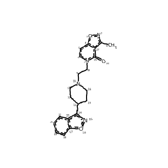 Cc1noc2ccn(CCN3CCC(c4noc5ccccc45)CC3)c(=O)c12